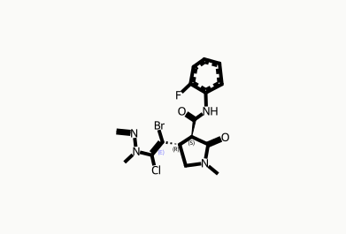 C=NN(C)/C(Cl)=C(\Br)[C@H]1CN(C)C(=O)[C@@H]1C(=O)Nc1ccccc1F